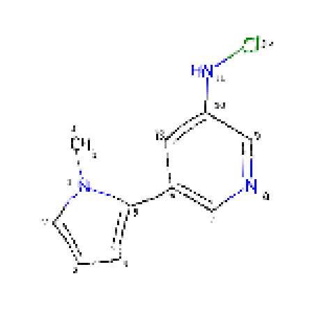 Cn1cccc1-c1cncc(NCl)c1